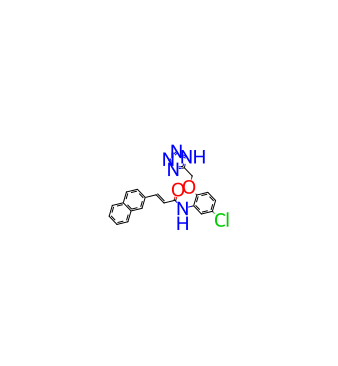 O=C(C=Cc1ccc2ccccc2c1)Nc1cc(Cl)ccc1OCc1nnn[nH]1